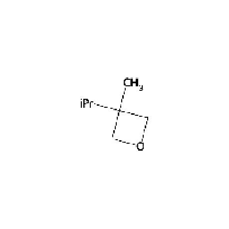 [CH2]C(C)C1(C)COC1